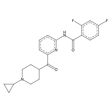 O=C(Nc1cccc(C(=O)C2CCN(C3CC3)CC2)n1)c1ccc(F)cc1F